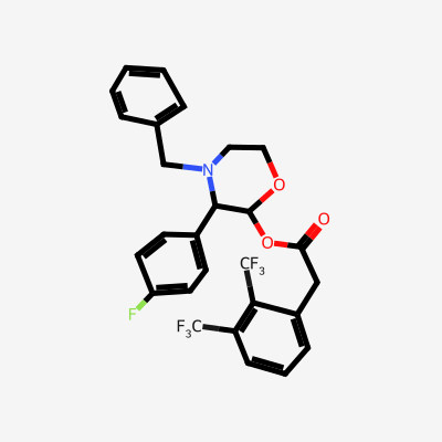 O=C(Cc1cccc(C(F)(F)F)c1C(F)(F)F)OC1OCCN(Cc2ccccc2)C1c1ccc(F)cc1